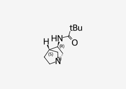 CC(C)(C)C(=O)N[C@H]1C[N@]2CC[C@H]1C2